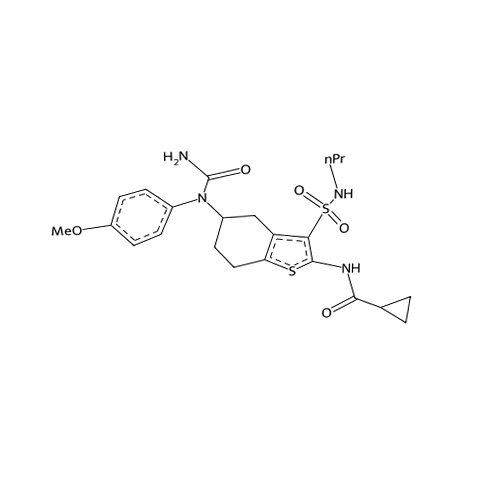 CCCNS(=O)(=O)c1c(NC(=O)C2CC2)sc2c1CC(N(C(N)=O)c1ccc(OC)cc1)CC2